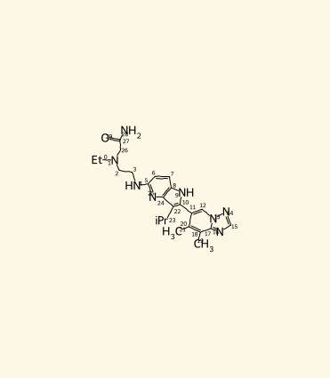 CCN(CCNc1ccc2[nH]c(-c3cn4ncnc4c(C)c3C)c(C(C)C)c2n1)CC(N)=O